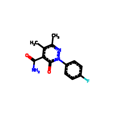 Cc1nn(-c2ccc(F)cc2)c(=O)c(C(N)=O)c1C